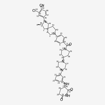 C[C@@H]1CC2(CCN(c3ccc(C(=O)N4CCC(N5CCN(c6cccc(N[C@@H]7CCC(=O)NC7=O)c6)CC5)CC4)cc3)CC2)CN1c1ccc(C#N)c(Cl)c1